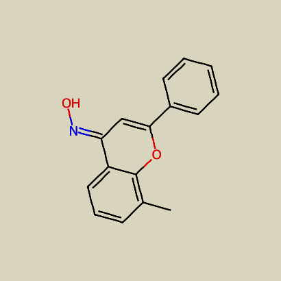 Cc1cccc2/c(=N/O)cc(-c3ccccc3)oc12